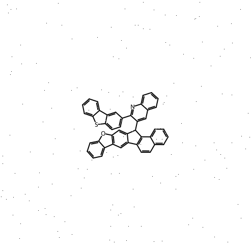 c1ccc2nc(-c3ccc4sc5ccccc5c4c3)c(C3c4cc5oc6ccccc6c5cc4-c4ccc5ccccc5c43)cc2c1